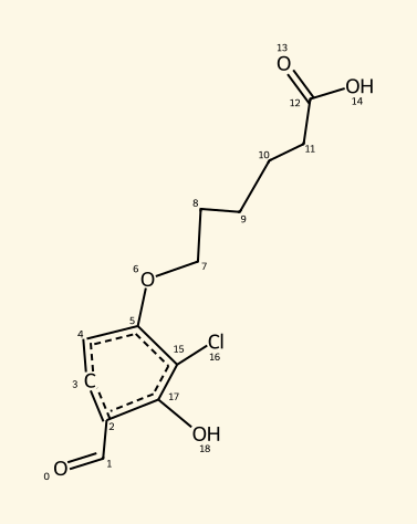 O=Cc1ccc(OCCCCCC(=O)O)c(Cl)c1O